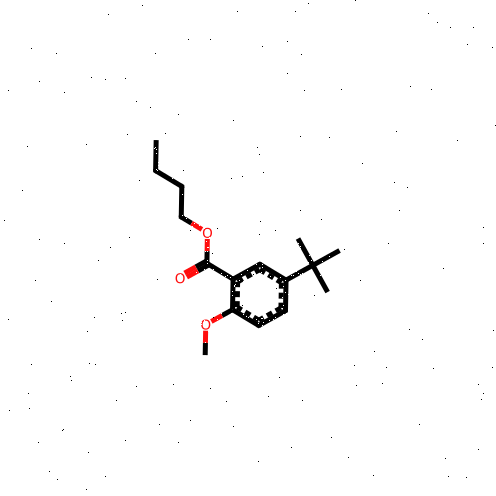 CCCCOC(=O)c1cc(C(C)(C)C)ccc1OC